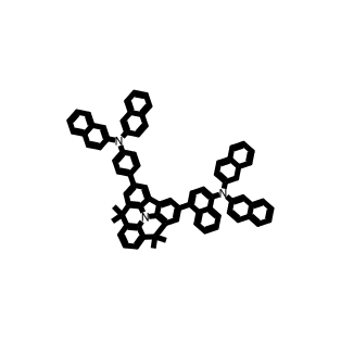 CC1(C)c2cccc3c2-n2c4c1cc(-c1ccc(N(c5ccc6ccccc6c5)c5ccc6ccccc6c5)cc1)cc4c1cc(-c4ccc(N(C5=CC=C6C=CC=CC6C5)c5ccc6ccccc6c5)c5ccccc45)cc(c12)C3(C)C